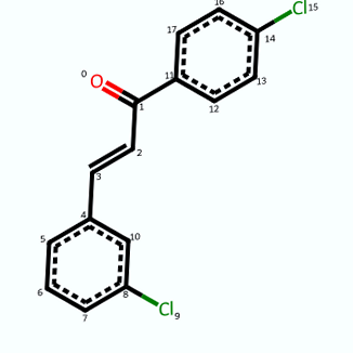 O=C(C=Cc1cccc(Cl)c1)c1ccc(Cl)cc1